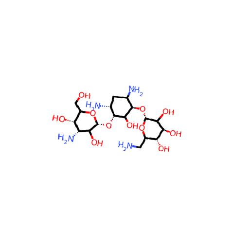 NCC1O[C@H](O[C@@H]2C(N)C[C@@H](N)[C@@H](O[C@H]3OC(CO)[C@@H](O)[C@@H](N)C3O)C2O)C(O)[C@@H](O)[C@@H]1O